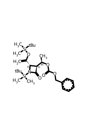 C=C(O[Si](C)(C)C(C)(C)C)[C@@H]1[C@@H]([C@@H](C)OC(=O)OCc2ccccc2)C(=O)N1[Si](C)(C)C(C)(C)C